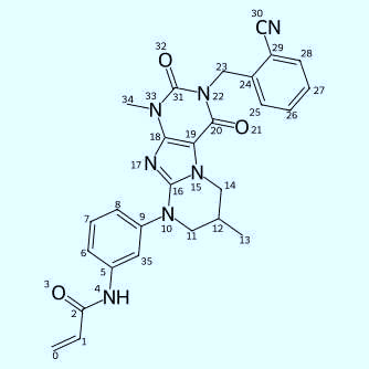 C=CC(=O)Nc1cccc(N2CC(C)Cn3c2nc2c3c(=O)n(Cc3ccccc3C#N)c(=O)n2C)c1